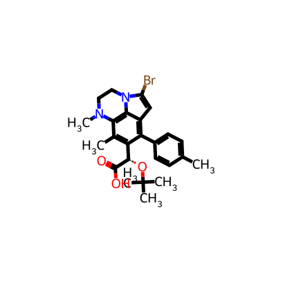 Cc1ccc(-c2c([C@H](OC(C)(C)C)C(=O)O)c(C)c3c4c2cc(Br)n4CCN3C)cc1